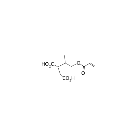 C=CC(=O)OCC(C)C(CC(=O)O)C(=O)O